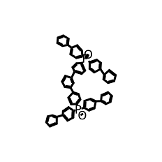 O=P(c1ccc(-c2ccccc2)cc1)(c1ccc(-c2ccccc2)cc1)c1ccc(-c2cccc(-c3ccc(P(=O)(c4ccc(-c5ccccc5)cc4)c4ccc(-c5ccccc5)cc4)cc3)c2)cc1